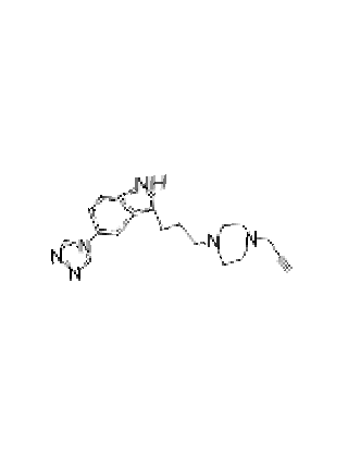 C#CCN1CCN(CCCc2c[nH]c3ccc(-n4cnnc4)cc23)CC1